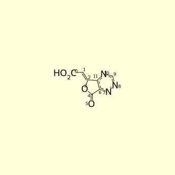 O=C(O)C=C1OC(=O)c2nncnc21